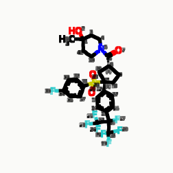 CC1(O)CCN(C(=O)[C@@H]2CC[C@](c3ccc(C(F)(C(F)(F)F)C(F)(F)F)cc3)(S(=O)(=O)c3ccc(F)cc3)C2)CC1